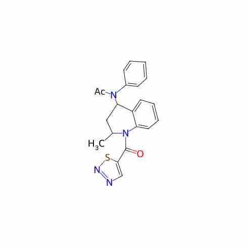 CC(=O)N(c1ccccc1)C1CC(C)N(C(=O)c2cnns2)c2ccccc21